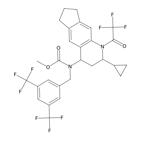 COC(=O)N(Cc1cc(C(F)(F)F)cc(C(F)(F)F)c1)C1CC(C2CC2)N(C(=O)C(F)(F)F)c2cc3c(cc21)CCC3